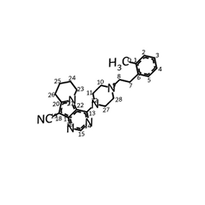 Cc1ccccc1CCN1CCN(c2ncnc3c(C#N)c4n(c23)CCCC4)CC1